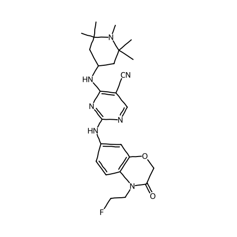 CN1C(C)(C)CC(Nc2nc(Nc3ccc4c(c3)OCC(=O)N4CCF)ncc2C#N)CC1(C)C